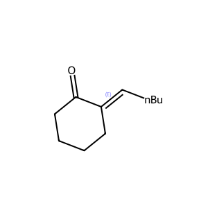 CCCC/C=C1\CCCCC1=O